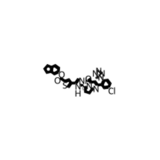 O=C(Oc1ccc2c(c1)CCC2)c1cc(C2=CNC([C@@H]3CCc4nc(-c5cc(Cl)ccc5-n5cnnn5)cc(=O)n43)N2)cs1